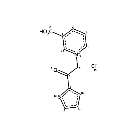 O=C(O)c1ccc[n+](CC(=O)c2cccs2)c1.[Cl-]